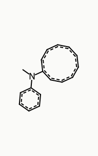 CN(c1ccccccccc1)c1ccccc1